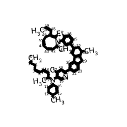 C=CC/C=C\C=C/C(C)N(C1=CCC(C)C=C1)c1cnc(-c2ccc3c(c2)C2=C(C3)C(C)CC(c3cccc(N4C(=C)/C=C\C=C/CC(/C=C\C)=C\4CC)c3)=C2)cc1C